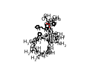 CNC(=O)c1ccccc1Sc1ccc2c(/C=C/c3ccccn3)nn(C(=O)N(CCNC(=O)[C@@H](N)CCC(=O)O)CCC(=O)N[C@H](C(=O)N[C@@H](CCN)C(=O)N[C@H]3CCNC(=O)[C@H](C(C)O)NC(=O)[C@H](CCN)NC(=O)[C@H](CCN)NC(=O)C(CC(C)C)NC(=O)[C@@H](Cc4ccccc4)NC(=O)[C@H](CCN)NC3=O)C(C)O)c2c1